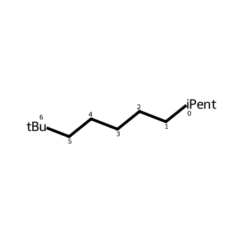 CCCC(C)CCCCCC(C)(C)C